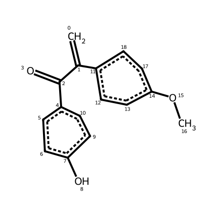 C=C(C(=O)c1ccc(O)cc1)c1ccc(OC)cc1